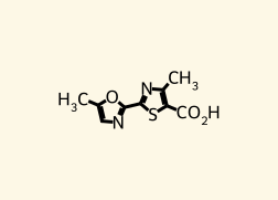 Cc1cnc(-c2nc(C)c(C(=O)O)s2)o1